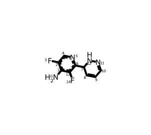 Nc1c(F)cnc(C2C=CC=NN2)c1F